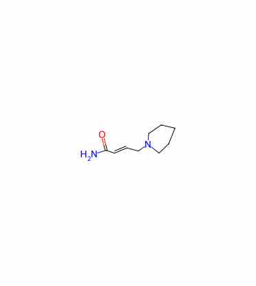 NC(=O)C=CCN1CCCCC1